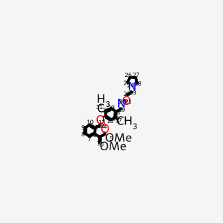 CO/C=C(\C(=O)OC)c1ccccc1COc1cc(C)c(/C=N/OCCN2CCCC2)cc1C